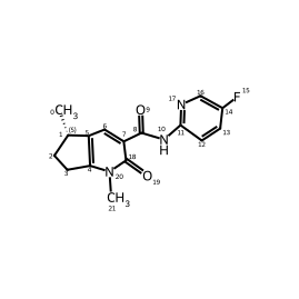 C[C@H]1CCc2c1cc(C(=O)Nc1ccc(F)cn1)c(=O)n2C